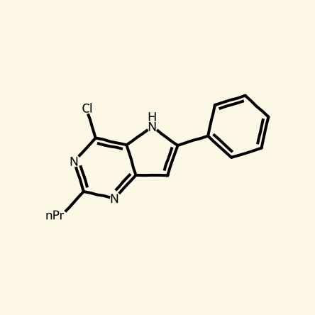 CCCc1nc(Cl)c2[nH]c(-c3ccccc3)cc2n1